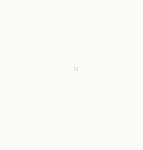 CCCC(C)(CC)N1CCC2CC2(c2ccccc2)C1